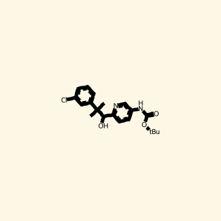 CC(C)(C)OC(=O)Nc1ccc(C(O)C(C)(C)c2cccc(Cl)c2)nc1